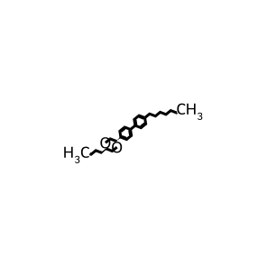 CCCCCCCc1ccc(-c2ccc([C@H]3CO[C@H](CCCC)CO3)cc2)cc1